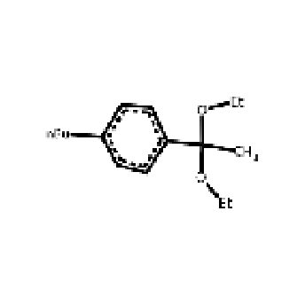 CCCCc1ccc(C(C)(OCC)OCC)cc1